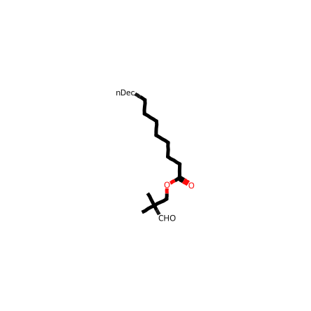 CCCCCCCCCCCCCCCCCC(=O)OCC(C)(C)C=O